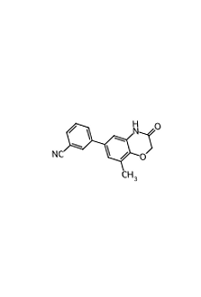 Cc1cc(-c2cccc(C#N)c2)cc2c1OCC(=O)N2